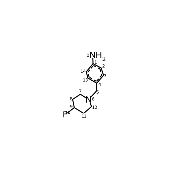 Nc1ccc(CN2CCC(F)CC2)cc1